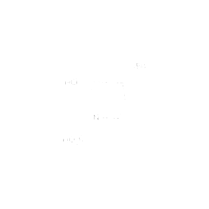 CC(C)(C)C1CCN(C(=O)O)CC1.Cl